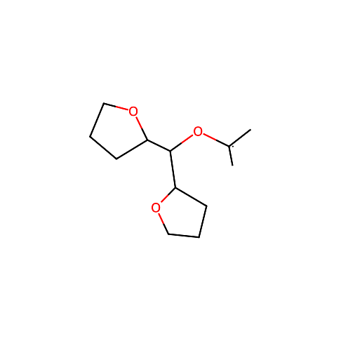 C[C](C)OC(C1CCCO1)C1CCCO1